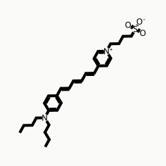 CCCCN(CCCC)c1ccc(C=CC=CC=Cc2cc[n+](CCCCS(=O)(=O)[O-])cc2)cc1